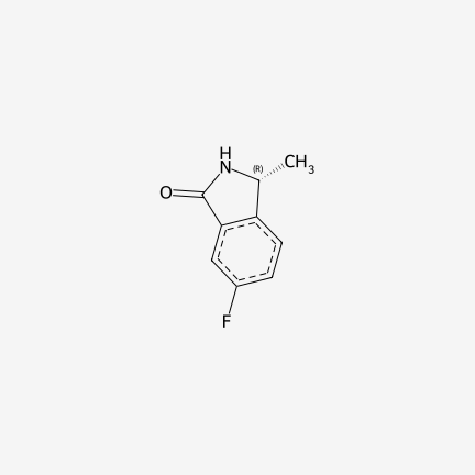 C[C@H]1NC(=O)c2cc(F)ccc21